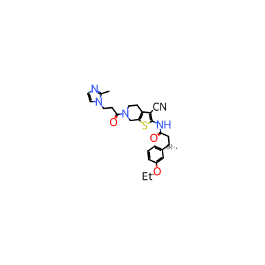 CCOc1cccc([C@@H](C)CC(=O)Nc2sc3c(c2C#N)CCN(C(=O)CCn2ccnc2C)C3)c1